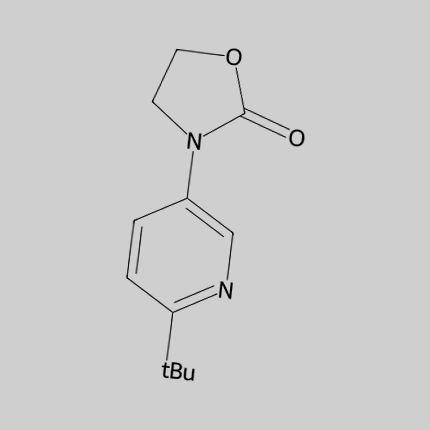 CC(C)(C)c1ccc(N2CCOC2=O)cn1